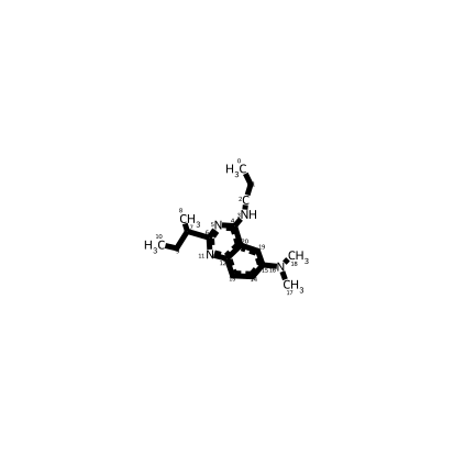 CCCNc1nc(C(C)CC)nc2ccc(N(C)C)cc12